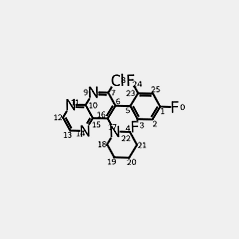 Fc1cc(F)c(-c2c(Cl)nc3nccnc3c2N2CCCCC2)c(F)c1